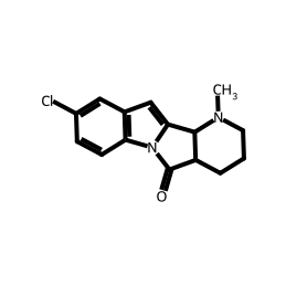 CN1CCCC2C(=O)n3c(cc4cc(Cl)ccc43)C21